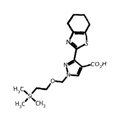 C[Si](C)(C)CCOCn1cc(C(=O)O)c(-c2nc3c(s2)CCCC3)n1